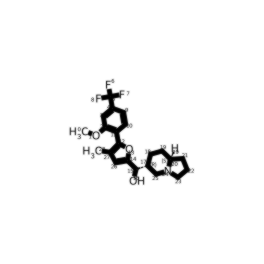 COc1cc(C(F)(F)F)ccc1-c1oc(C(O)[C@@H]2CC[C@H]3CCCN3C2)cc1C